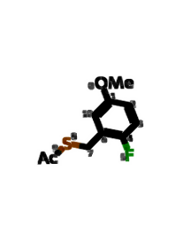 COc1ccc(F)c(CSC(C)=O)c1